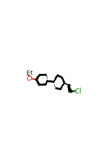 CCO[C@H]1CC[C@H]([C@H]2CC[C@H](/C=C/Cl)CC2)CC1